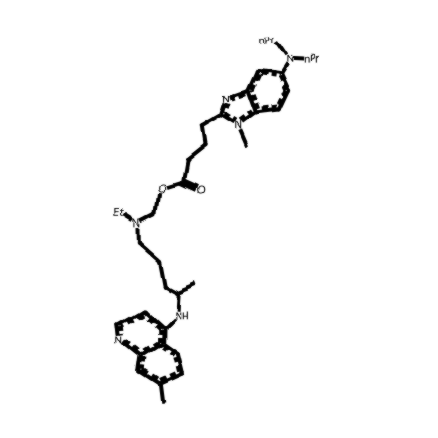 CCCN(CCC)c1ccc2c(c1)nc(CCCC(=O)OCN(CC)CCCC(C)Nc1ccnc3cc(C)ccc13)n2C